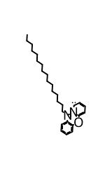 CCCCCCCCCCCCCCCCN1c2ccccc2OC2=CC=C[C]N21